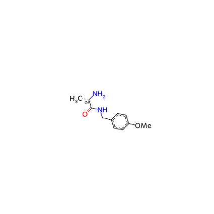 COc1ccc(CNC(=O)[C@H](C)N)cc1